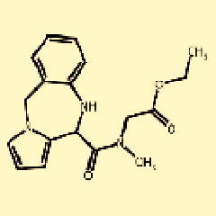 CCOC(=O)CN(C)C(=O)C1Nc2ccccc2Cn2cccc21